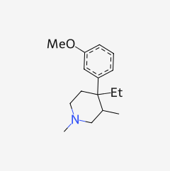 CCC1(c2cccc(OC)c2)CCN(C)CC1C